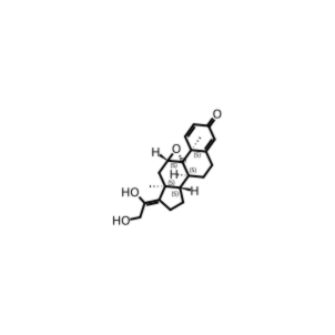 C[C@]12C=CC(=O)C=C1CC[C@H]1[C@@H]3CCC(=C(O)CO)[C@@]3(C)C[C@@H]3O[C@@]312